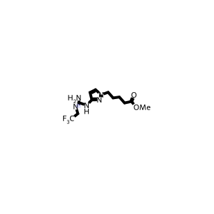 COC(=O)CCCCn1ccc(N/C(N)=N\CC(F)(F)F)n1